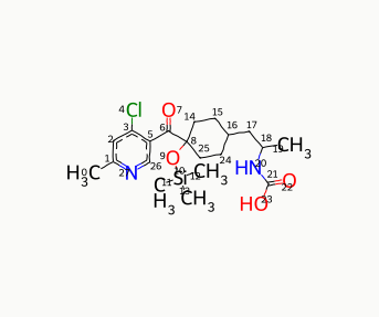 Cc1cc(Cl)c(C(=O)C2(O[Si](C)(C)C)CCC(CC(C)NC(=O)O)CC2)cn1